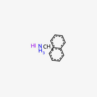 C.I.N.c1ccc2ccccc2c1